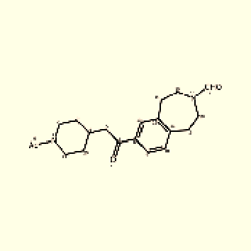 CC(=O)N1CCC(CC(=O)c2ccc3c(c2)CCN(C=O)CC3)CC1